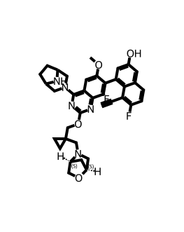 C#Cc1c(F)ccc2cc(O)cc(-c3c(OC)cc4c(N5CC6CCC(C5)N6)nc(OCC5(CN6C[C@@H]7C[C@H]6CO7)CC5)nc4c3F)c12